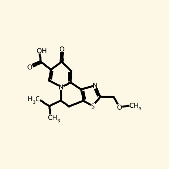 COCc1nc2c(s1)CC(C(C)C)n1cc(C(=O)O)c(=O)cc1-2